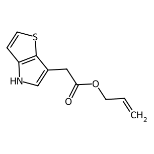 C=CCOC(=O)Cc1c[nH]c2ccsc12